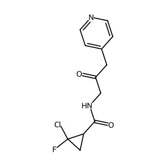 O=C(CNC(=O)C1CC1(F)Cl)Cc1ccncc1